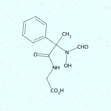 CC(C(=O)NCC(=O)O)(c1ccccc1)N(O)C=O